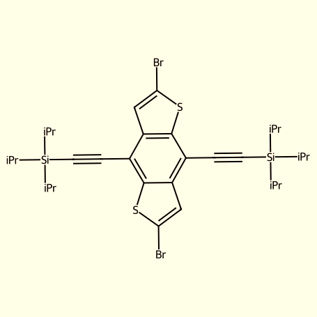 CC(C)[Si](C#Cc1c2cc(Br)sc2c(C#C[Si](C(C)C)(C(C)C)C(C)C)c2cc(Br)sc12)(C(C)C)C(C)C